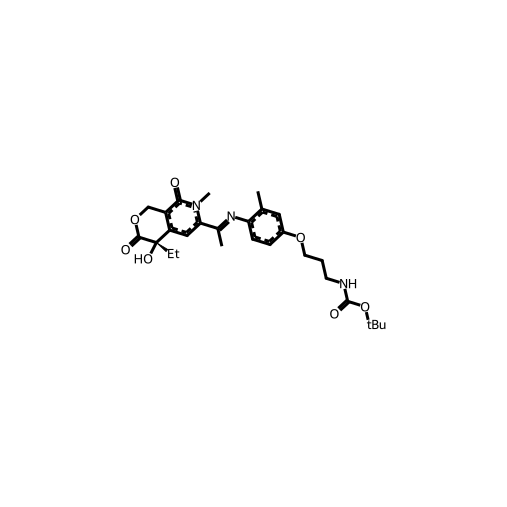 CC[C@@]1(O)C(=O)OCc2c1cc(/C(C)=N/c1ccc(OCCCNC(=O)OC(C)(C)C)cc1C)n(C)c2=O